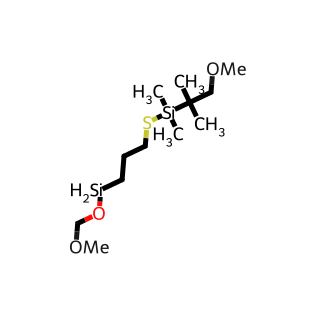 COCO[SiH2]CCCS[Si](C)(C)C(C)(C)COC